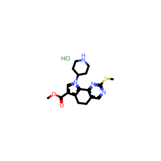 COC(=O)c1cn(C2CCNCC2)c2c1CCc1cnc(SC)nc1-2.Cl